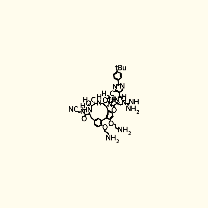 Cc1nc(-c2ccc(C(C)(C)C)cc2)ncc1C(=O)NC(CNC(=N)N)C(=O)N(C)C1C(=O)NC(C)C(=O)NC(C(=O)NCC#N)Cc2ccc(OCCN)c(c2)-c2cc1ccc2OCCN